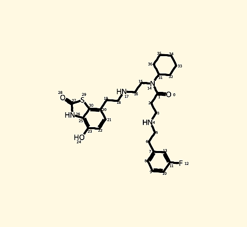 O=C(CCNCCc1cccc(F)c1)N(CCNCCc1ccc(O)c2[nH]c(=O)sc12)C1CCCCC1